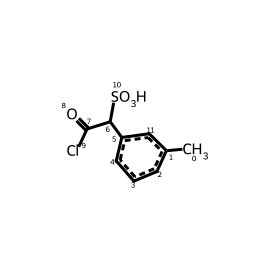 Cc1cccc(C(C(=O)Cl)S(=O)(=O)O)c1